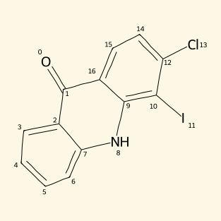 O=c1c2ccccc2[nH]c2c(I)c(Cl)ccc12